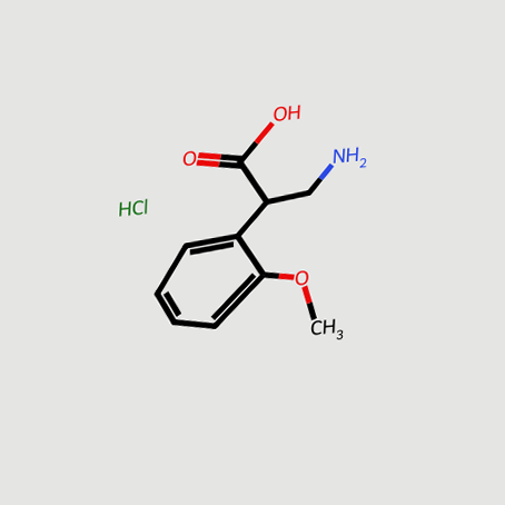 COc1ccccc1C(CN)C(=O)O.Cl